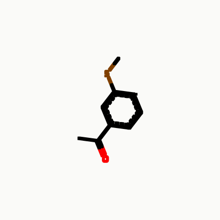 CSc1[c]ccc(C(C)=O)c1